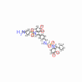 CN(CCS(=O)(=O)n1cc(-c2ccccc2)c2c1C=CC(=O)C2=O)Cc1ccc(-c2cn(S(=O)(=O)c3ccc(N)cc3)c3c2C(=O)C(=O)C=C3)cc1